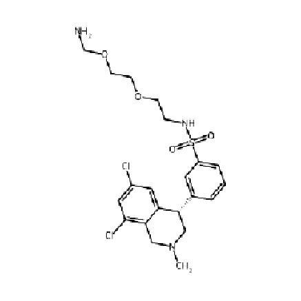 CN1Cc2c(Cl)cc(Cl)cc2[C@H](c2cccc(S(=O)(=O)NCCOCCOCN)c2)C1